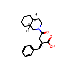 O=C(O)/C(=C/c1ccccc1)CC(=O)N1CC[C@@H]2CCCC[C@H]2C1